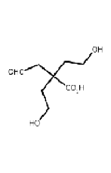 O=CCC(CCO)(CCO)C(=O)O